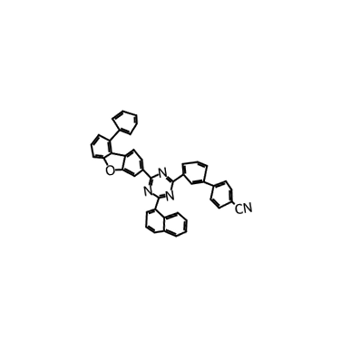 N#Cc1ccc(-c2cccc(-c3nc(-c4ccc5c(c4)oc4cccc(-c6ccccc6)c45)nc(-c4cccc5ccccc45)n3)c2)cc1